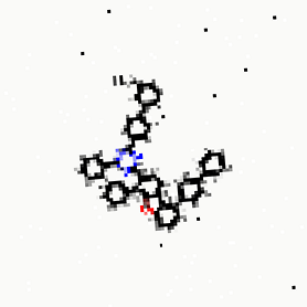 Cc1cccc(-c2ccc(-c3nc(-c4ccccc4)nc(-c4ccc5c(oc6cccc(-c7ccc(-c8ccccc8)cc7)c65)c4-c4ccccc4)n3)cc2)c1